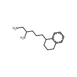 NCC(N)CCCC1CCCc2ccccc21